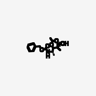 CC(=O)OC(/C(C)=N/O)[C@H](C)NC(=O)OCc1ccccc1